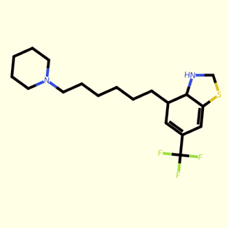 FC(F)(F)C1=CC(CCCCCCN2CCCCC2)C2NCSC2=C1